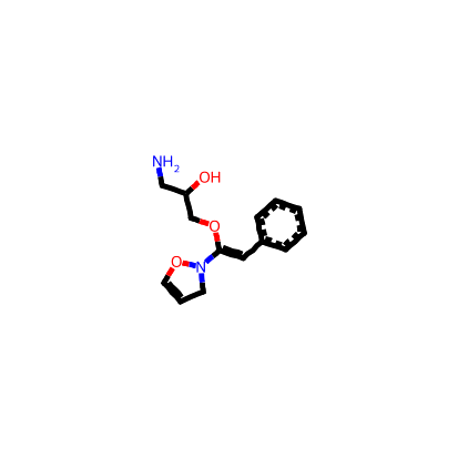 NCC(O)COC(=Cc1ccccc1)N1CC=CO1